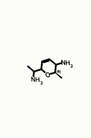 CC(N)C1C=CC(N)[C@@H](C)O1